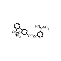 N=C(N)c1cccc(OCOc2ccc(-c3ccccc3S(N)(=O)=O)cc2)c1